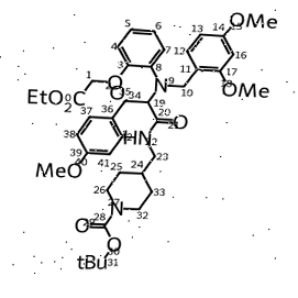 CCOC(=O)COc1ccccc1N(Cc1ccc(OC)cc1OC)C(C(=O)NCC1CCN(C(=O)OC(C)(C)C)CC1)C(=O)c1ccc(OC)cc1